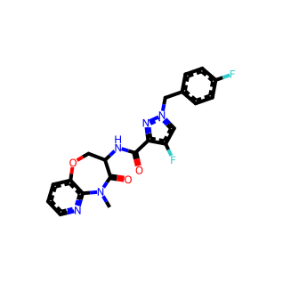 CN1C(=O)C(NC(=O)c2nn(Cc3ccc(F)cc3)cc2F)COc2cccnc21